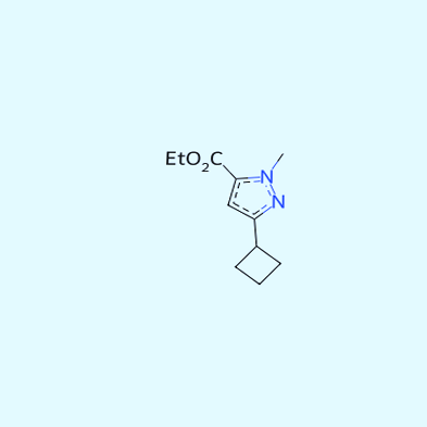 CCOC(=O)c1cc(C2CCC2)nn1C